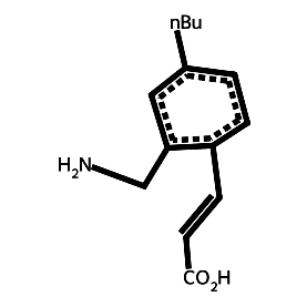 CCCCc1ccc(C=CC(=O)O)c(CN)c1